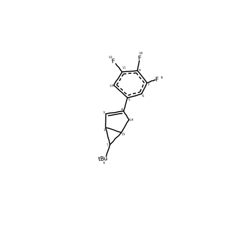 CC(C)(C)C1C2C=C(c3cc(F)c(F)c(F)c3)CC21